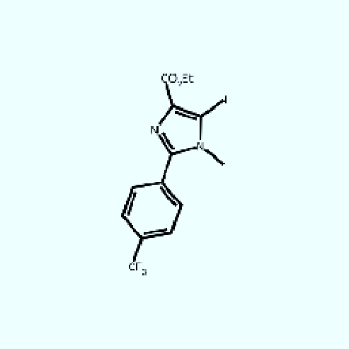 CCOC(=O)c1nc(-c2ccc(C(F)(F)F)cc2)n(C)c1I